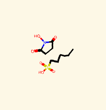 CCCCCS(=O)(=O)O.O=C1CCC(=O)N1O